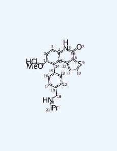 COc1ccc2[nH]c(=O)c3sccc3c2c1-c1ccc(CNC(C)C)cc1.Cl